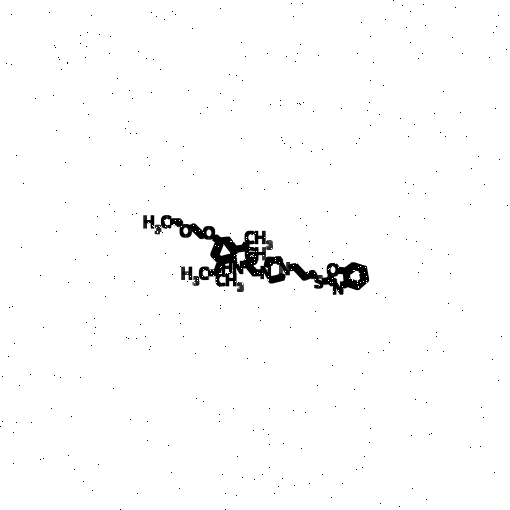 CCOCCOc1cc(C(C)C)c(NC(=O)CN2CCN(CCCSc3nc4ccccc4o3)CC2)c(C(C)C)c1